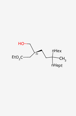 CCCCCCCC(C)(CCCCCC)CC[C@H](CO)CC(=O)OCC